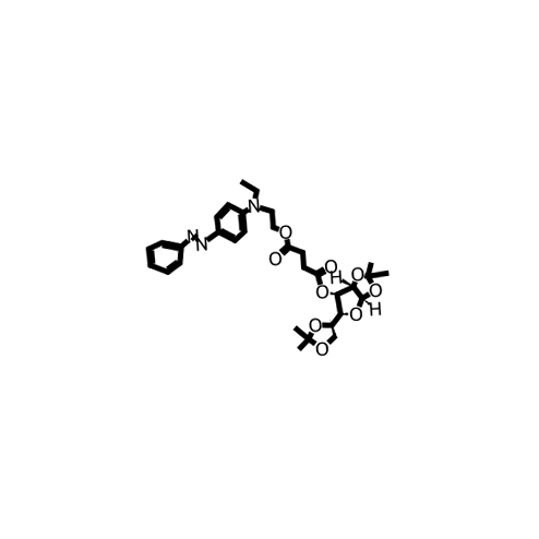 CCN(CCOC(=O)CCC(=O)O[C@@H]1[C@@H]2OC(C)(C)O[C@H]2O[C@@H]1[C@H]1COC(C)(C)O1)c1ccc(/N=N/c2ccccc2)cc1